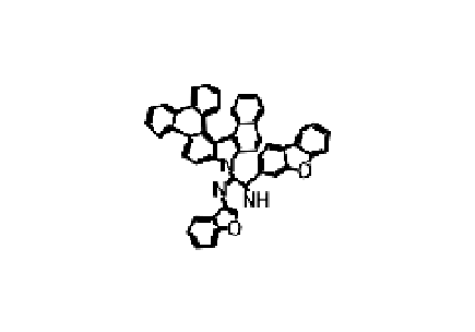 N=C(/C(=N\c1coc2ccccc12)n1c2ccc3ccccc3c2c2c3c4ccccc4c4ccccc4c3ccc21)c1ccc2c(c1)oc1ccccc12